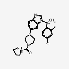 C[C@H](c1ccc(Cl)cc1F)n1cnc2ccc(N3CCN(C(=O)[C@H]4CCCN4)CC3)cc21